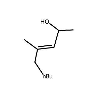 CCCCCC(C)=CC(C)O